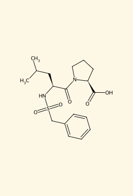 CC(C)C[C@H](NS(=O)(=O)Cc1ccccc1)C(=O)N1CCC[C@H]1C(=O)O